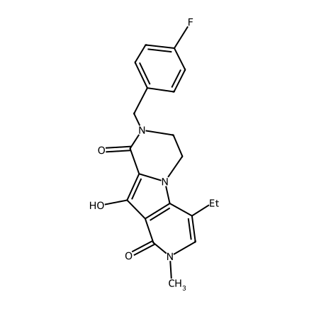 CCc1cn(C)c(=O)c2c(O)c3n(c12)CCN(Cc1ccc(F)cc1)C3=O